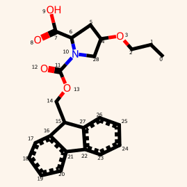 CCCOC1CC(C(=O)O)N(C(=O)OCC2c3ccccc3-c3ccccc32)C1